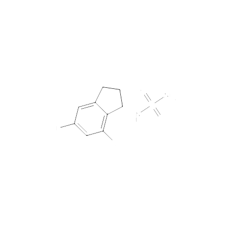 NS(=O)(=O)N[C@H]1CCc2cc(F)cc(Cl)c21